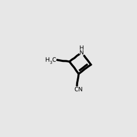 CC1NC=C1C#N